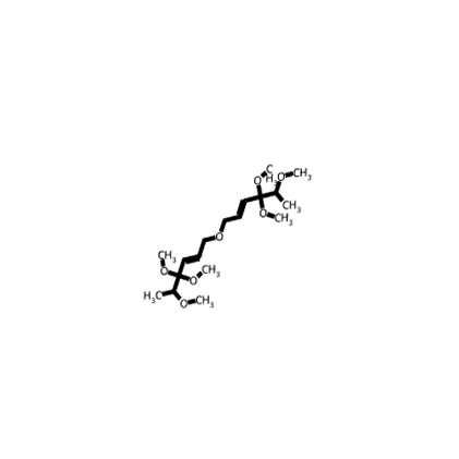 COC(C)C(C=CCOCC=CC(OC)(OC)C(C)OC)(OC)OC